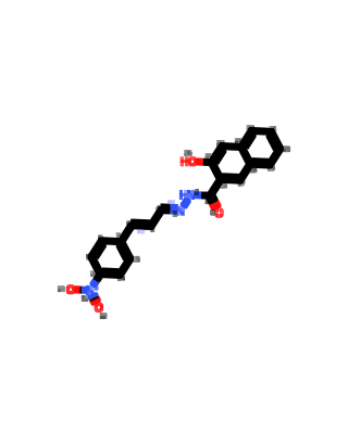 O=C(N/N=C/C=C/c1ccc([N+](=O)[O-])cc1)c1cc2ccccc2cc1O